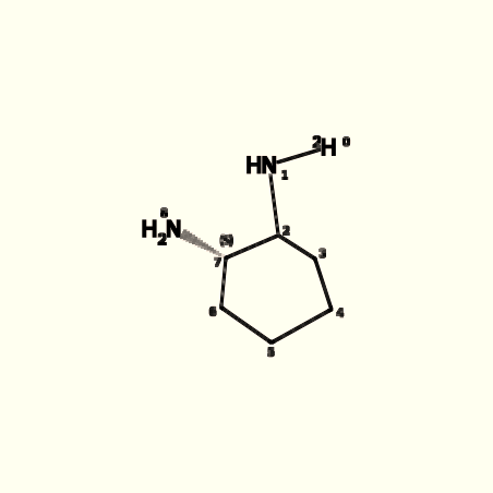 [2H]NC1CCCC[C@@H]1N